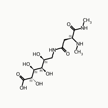 CNC(=O)[C@H](CC(=O)NC[C@H](O)[C@@H](O)[C@H](O)[C@H](O)C(=O)O)NC